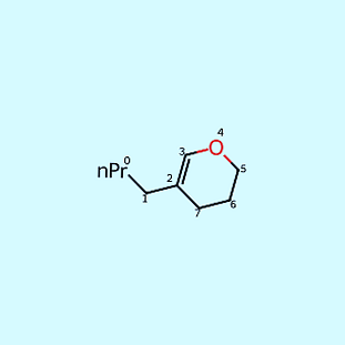 CCCCC1=COCCC1